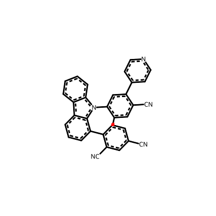 Cc1cc(C#N)c(-c2ccncc2)cc1-n1c2ccccc2c2cccc(-c3ccc(C#N)cc3C#N)c21